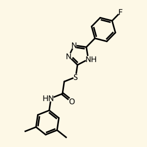 Cc1cc(C)cc(NC(=O)CSc2nnc(-c3ccc(F)cc3)[nH]2)c1